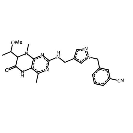 COC(C)C1C(=O)Nc2c(C)nc(NCc3cnn(Cc4cccc(C#N)c4)c3)nc2N1C